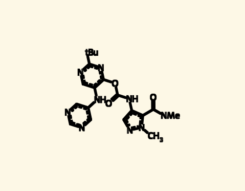 CNC(=O)c1c(NC(=O)Oc2nc(C(C)(C)C)ncc2Nc2cncnc2)cnn1C